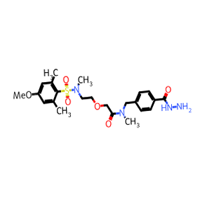 COc1cc(C)c(S(=O)(=O)N(C)CCOCC(=O)N(C)Cc2ccc(C(=O)NN)cc2)c(C)c1